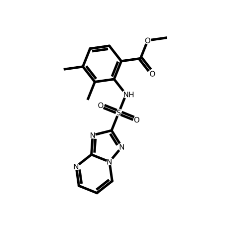 COC(=O)c1ccc(C)c(C)c1NS(=O)(=O)c1nc2ncccn2n1